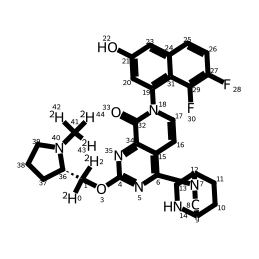 [2H]C([2H])(Oc1nc(N2CC3CCC2CN3)c2ccn(-c3cc(O)cc4ccc(F)c(F)c34)c(=O)c2n1)[C@@H]1CCCN1C([2H])([2H])[2H]